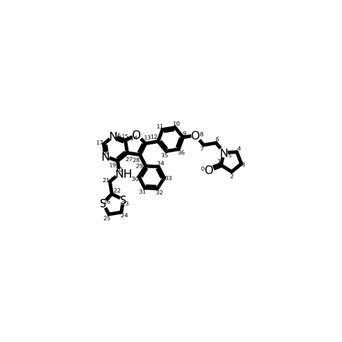 O=C1CCCN1CCOc1ccc(-c2oc3ncnc(NCC4SCCS4)c3c2-c2ccccc2)cc1